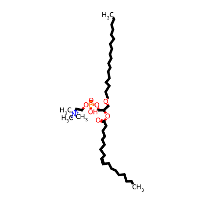 CCCCCCCC/C=C\CCCCCCCC(=O)OC(COCCCCCCCCCCCCCCCCCC)COP(=O)(O)OCC[N+](C)(C)C